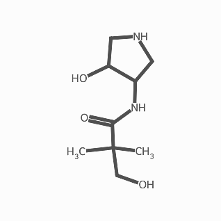 CC(C)(CO)C(=O)NC1CNCC1O